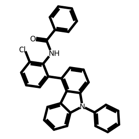 O=C(Nc1c(Cl)cccc1-c1cccc2c1c1ccccc1n2-c1ccccc1)c1ccccc1